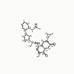 CNCc1ccccc1-c1csc(C(C)Nc2nn(C)c(=O)c3cc(=O)n(C4CC4)cc23)c1